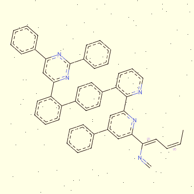 C=N/C(=C\C=C/C)c1cc(-c2ccccc2)cc(-c2ncccc2-c2ccc(-c3ccccc3-c3cc(-c4ccccc4)nc(-c4ccccc4)n3)cc2)n1